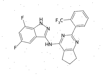 Fc1cc(F)c2[nH]nc(Nc3nc(-c4ccccc4C(F)(F)F)nc4c3CCC4)c2c1